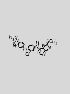 CSc1ncc2ncnc(Nc3ccc(Oc4ccc5c(c4)ncn5C)c(Cl)c3)c2n1